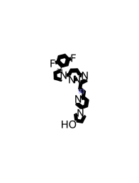 OC1CCN(c2ccc(/C=C/c3cnc4ccc(N5CCC[C@@H]5c5cc(F)ccc5F)nn34)nc2)C1